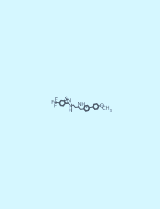 COc1ccc(-c2ccc(CC(N)CCNc3nsc4cc(C(F)(F)F)ccc34)cc2)cc1